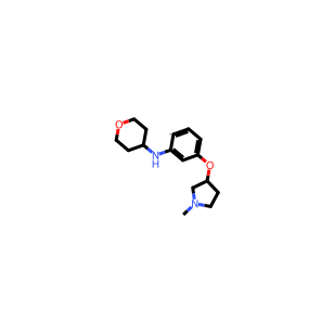 CN1CCC(Oc2cc[c]c(NC3CCOCC3)c2)C1